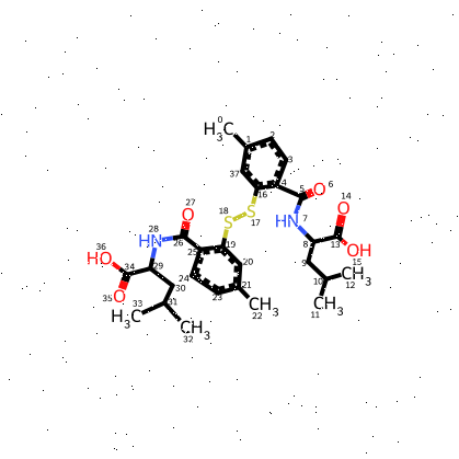 Cc1ccc(C(=O)NC(CC(C)C)C(=O)O)c(SSc2cc(C)ccc2C(=O)NC(CC(C)C)C(=O)O)c1